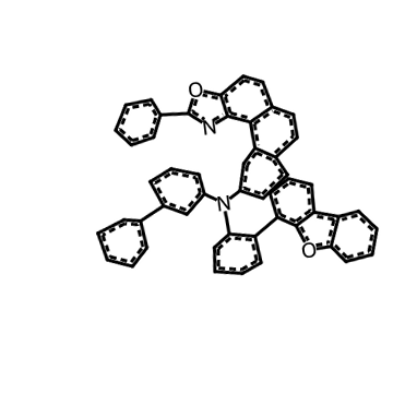 c1ccc(-c2cccc(N(c3ccc4ccc5ccc6oc(-c7ccccc7)nc6c5c4c3)c3ccccc3-c3cccc4c3oc3ccccc34)c2)cc1